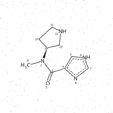 CN(C(=O)c1c[nH]cn1)[C@H]1CCNC1